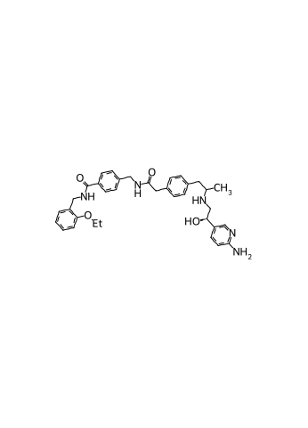 CCOc1ccccc1CNC(=O)c1ccc(CNC(=O)Cc2ccc(CC(C)NC[C@H](O)c3ccc(N)nc3)cc2)cc1